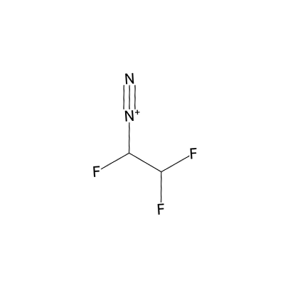 N#[N+]C(F)C(F)F